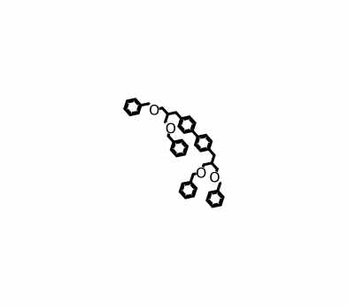 c1ccc(COCC(COCc2ccccc2)Cc2ccc(-c3ccc(CC(COCc4ccccc4)COCc4ccccc4)cc3)cc2)cc1